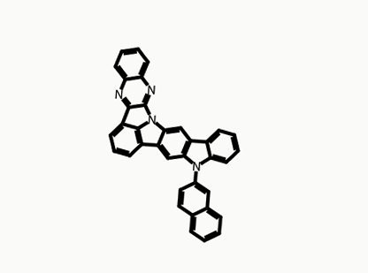 c1ccc2cc(-n3c4ccccc4c4cc5c(cc43)c3cccc4c6nc7ccccc7nc6n5c34)ccc2c1